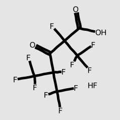 F.O=C(O)C(F)(C(=O)C(F)(C(F)(F)F)C(F)(F)F)C(F)(F)F